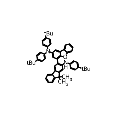 CC(C)(C)c1ccc(Nc2cc3c(cc2-c2cc(N(c4ccc(C(C)(C)C)cc4)c4ccc(C(C)(C)C)cc4)cc4c2oc2ccccc24)-c2ccccc2C3(C)C)cc1